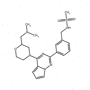 CN(C)CC1CN(c2nc(-c3cccc(CNS(C)(=O)=O)c3)nn3cccc23)CCO1